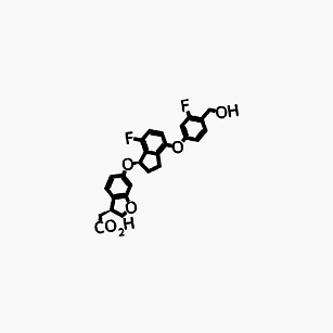 O=C(O)C[C@@H]1COc2cc(O[C@@H]3CCc4c(Oc5ccc(CO)c(F)c5)ccc(F)c43)ccc21